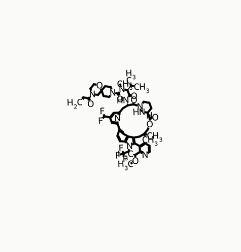 C=CC(=O)N1CCOC2(CCN(C(=O)N(C)[C@H](C(=O)N[C@H]3Cc4cc(C(F)F)cc(n4)-c4ccc5c(c4)c(c(-c4cccnc4[C@H](C)OC)n5CC(F)(F)F)CC(C)(C)COC(=O)[C@@H]4CCCN(N4)C3=O)C(C)C)CC2)C1